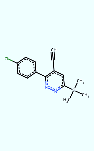 C#Cc1cc([Si](C)(C)C)nnc1-c1ccc(Cl)cc1